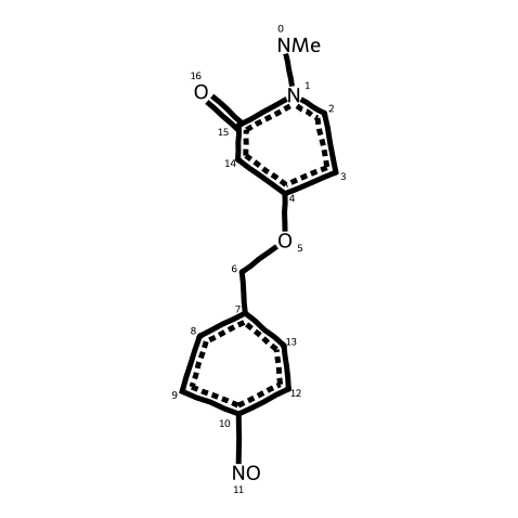 CNn1ccc(OCc2ccc(N=O)cc2)cc1=O